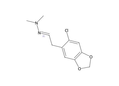 CN(C)/N=C/Cc1cc2c(cc1Cl)OCO2